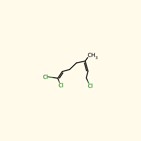 CC(=CCCl)CCC=C(Cl)Cl